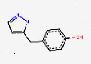 Oc1ccc(CC2=CC=N[N]2)cc1